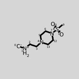 [CH2-][NH2+]CCN1CCN(S(C)(=O)=O)CC1